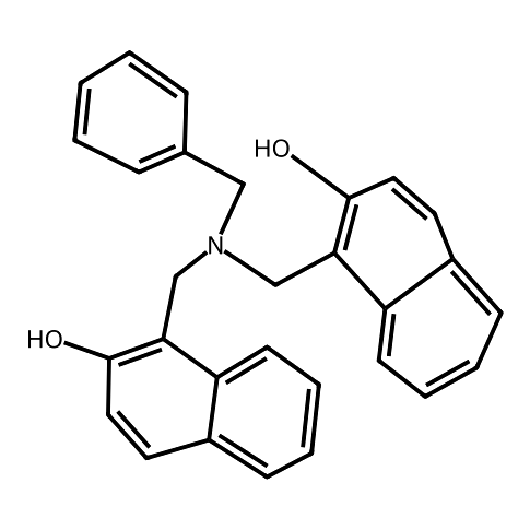 Oc1ccc2ccccc2c1CN(Cc1ccccc1)Cc1c(O)ccc2ccccc12